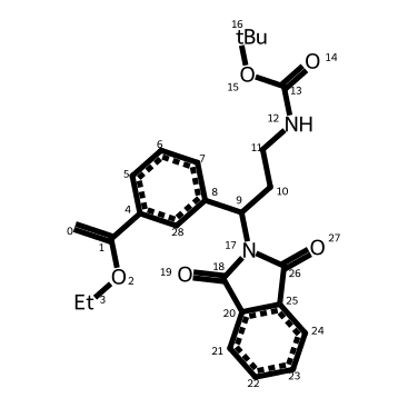 C=C(OCC)c1cccc(C(CCNC(=O)OC(C)(C)C)N2C(=O)c3ccccc3C2=O)c1